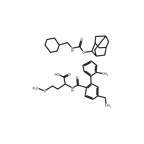 CCc1ccc(C(=O)NC(CCSC)C(=O)O)c(-c2ccccc2C)c1.O=C(NCC1CCCCC1)OC1C2CC3CC(C2)CC1C3